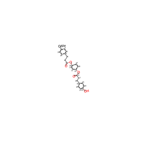 COc1ccc(CCC(=O)Oc2ccc(OC(=O)CCc3ccc(O)cc3)cc2)cc1